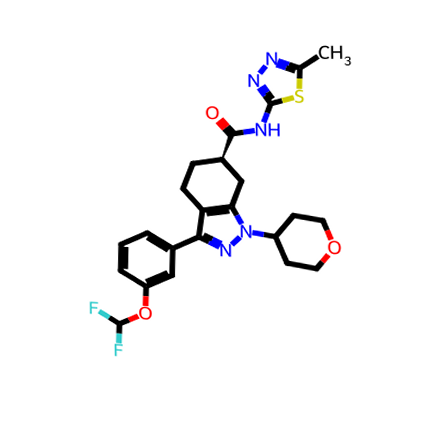 Cc1nnc(NC(=O)[C@@H]2CCc3c(-c4cccc(OC(F)F)c4)nn(C4CCOCC4)c3C2)s1